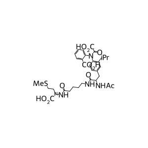 CSCC[C@H](NC(=O)CCCCNC(=O)C(Cc1ccc(N(C(=O)C(=O)O)c2ccccc2C(=O)O)c(C(C)C)c1)NC(C)=O)C(=O)O